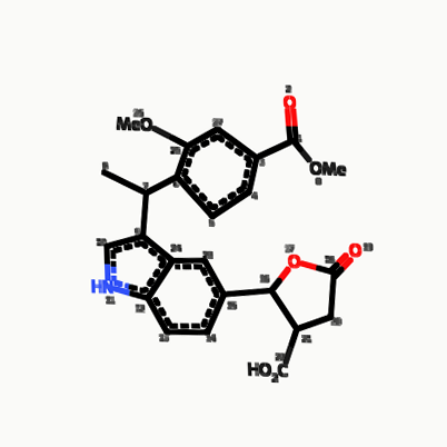 COC(=O)c1ccc(C(C)c2c[nH]c3ccc(C4OC(=O)CC4C(=O)O)cc23)c(OC)c1